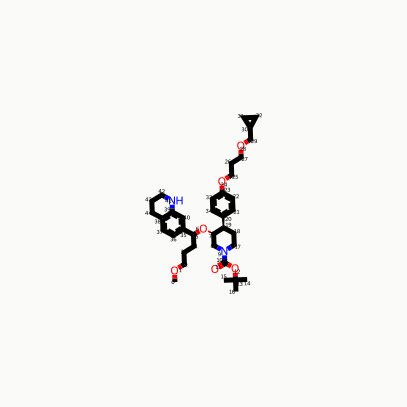 COCCCC(O[C@H]1CN(C(=O)OC(C)(C)C)CC[C@@H]1c1ccc(OCCCOCC2CC2)cc1)c1ccc2c(c1)NCCC2